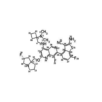 CN(C)C1(CNc2nc(OCC34CCCN3C[C@H](F)C4)nc3c(F)c(-c4ccc(F)c5sc(N)c(C#N)c45)ncc23)CCC1